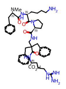 CN[C@@H](Cc1ccccc1)C(=O)N[C@@H](CCCCN)C(=O)N1CCC[C@H]1C(=O)NCC(Cc1ccccc1)(Cc1ccccc1)C(=O)N[C@H](CCCNC(=N)N)C(=O)O